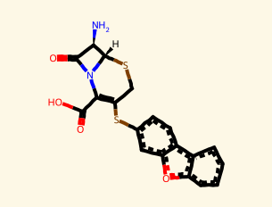 N[C@@H]1C(=O)N2C(C(=O)O)=C(Sc3ccc4c(c3)oc3ccccc34)CS[C@@H]12